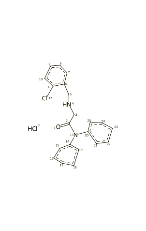 Cl.O=C(CNCc1ccccc1Cl)N(c1ccccc1)c1ccccc1